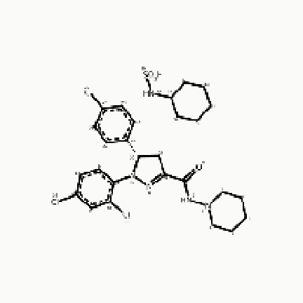 O=C(NN1CCCCC1)C1=NN(c2ccc(Cl)cc2Cl)[C@H](c2ccc(Cl)cc2)C1.O=S(=O)(O)NC1CCCCC1